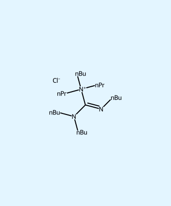 CCCCN=C(N(CCCC)CCCC)[N+](CCC)(CCC)CCCC.[Cl-]